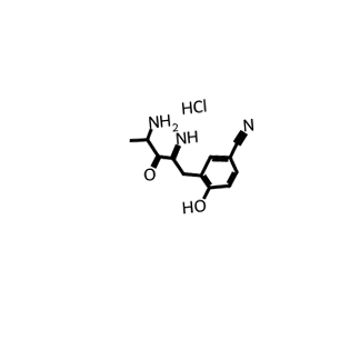 CC(N)C(=O)C(=N)Cc1cc(C#N)ccc1O.Cl